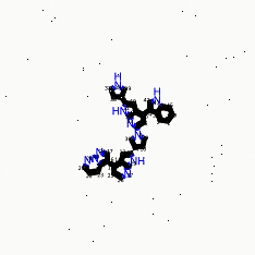 c1ccc2c(-c3cc(N4CC[C@H](c5cc6c(-c7cnn8ncccc78)ccnc6[nH]5)C4)nc4[nH]c(C5CCNC5)cc34)c[nH]c2c1